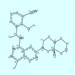 COc1c(C#N)cccc1C(C)Nc1nnc(C)c2cnc(N3CCN4CCOC[C@@H]4C3)cc12